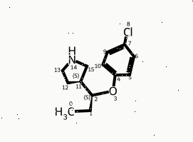 CC[C@H](Oc1ccc(Cl)cc1)[C@H]1CCNC1